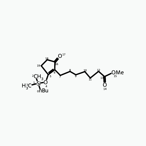 CCCC[Si](C)(C)OC1=C(CCCCCCC(=O)OC)C(=O)CC1